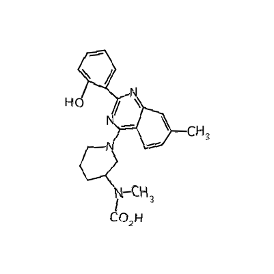 Cc1ccc2c(N3CCCC(N(C)C(=O)O)C3)nc(-c3ccccc3O)nc2c1